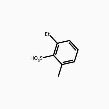 CCc1cccc(C)c1S(=O)(=O)O